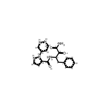 NC(=O)C(=O)C(Cc1ccccc1)NC(=O)c1ccnn1-c1ccnnc1